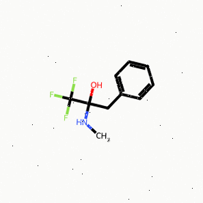 CNC(O)(Cc1ccccc1)C(F)(F)F